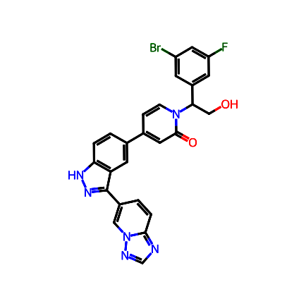 O=c1cc(-c2ccc3[nH]nc(-c4ccc5ncnn5c4)c3c2)ccn1C(CO)c1cc(F)cc(Br)c1